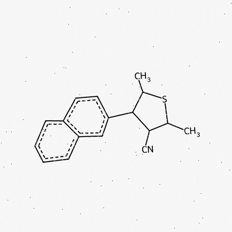 CC1SC(C)C(c2ccc3ccccc3c2)C1C#N